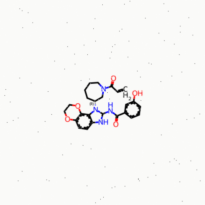 C=CC(=O)N1CCCC[C@@H](N2c3c(ccc4c3OCCO4)NC2NC(=O)c2cccc(O)c2)C1